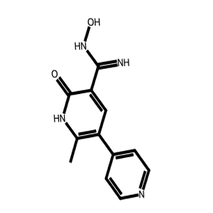 Cc1[nH]c(=O)c(C(=N)NO)cc1-c1ccncc1